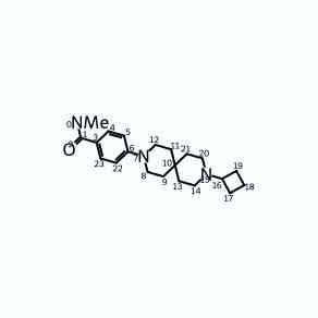 CNC(=O)c1ccc(N2CCC3(CC2)CCN(C2CCC2)CC3)cc1